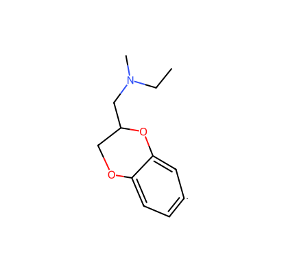 CCN(C)CC1COc2cc[c]cc2O1